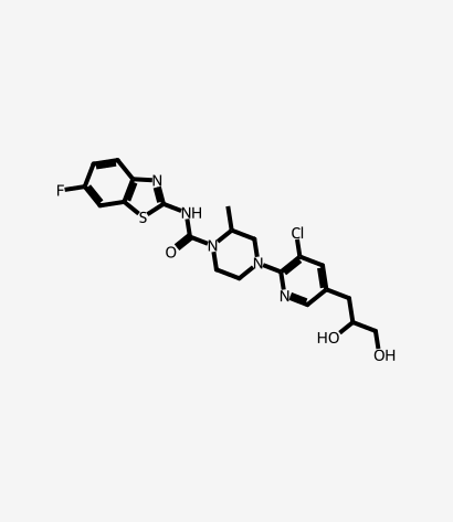 CC1CN(c2ncc(CC(O)CO)cc2Cl)CCN1C(=O)Nc1nc2ccc(F)cc2s1